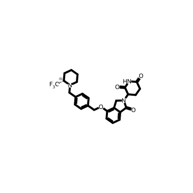 O=C1CCC(N2Cc3c(OCc4ccc(CN5CCCC[C@H]5C(F)(F)F)cc4)cccc3C2=O)C(=O)N1